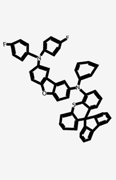 Fc1ccc(N(c2ccc(F)cc2)c2ccc3oc4ccc(N(c5ccccc5)c5cccc6c5Sc5ccccc5C65c6ccccc6-c6ccccc65)cc4c3c2)cc1